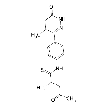 CC(=O)CC(C)C(=S)Nc1ccc(C2=NNC(=O)CC2C)cc1